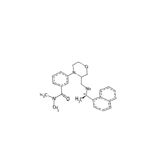 C[C@@H](NCC1COCCN1c1cccc(C(=O)N(C)C)c1)c1cccc2ccccc12